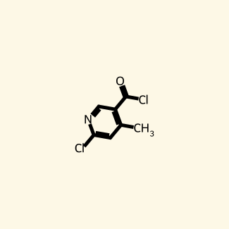 Cc1cc(Cl)ncc1C(=O)Cl